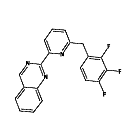 Fc1ccc(Cc2cccc(-c3ncc4ccccc4n3)n2)c(F)c1F